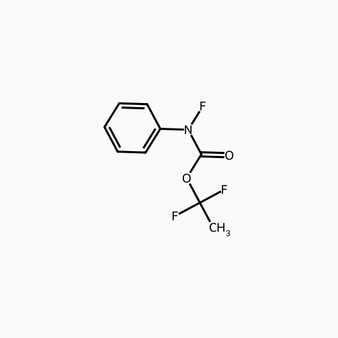 CC(F)(F)OC(=O)N(F)c1ccccc1